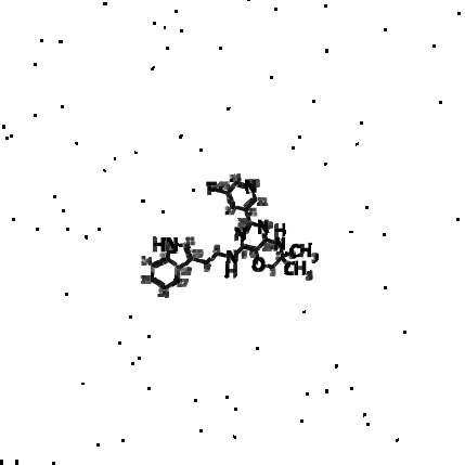 CC1(C)COc2c(NCCc3c[nH]c4ccccc34)nc(-c3cncc(F)c3)nc2N1